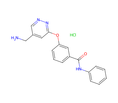 Cl.NCc1cnnc(Oc2cccc(C(=O)Nc3ccccc3)c2)c1